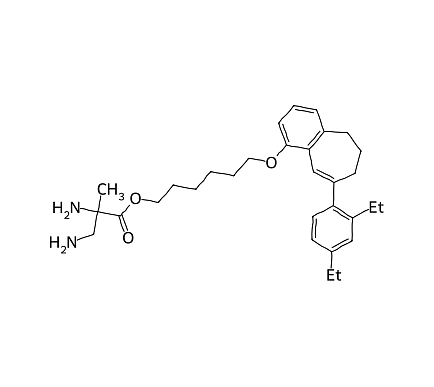 CCc1ccc(C2=Cc3c(cccc3OCCCCCCOC(=O)C(C)(N)CN)CCC2)c(CC)c1